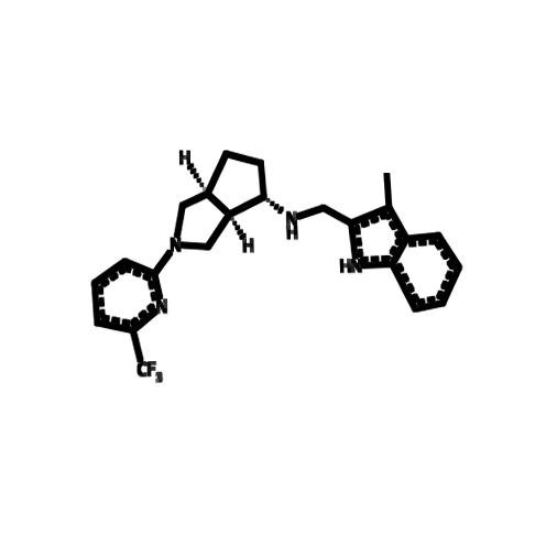 Cc1c(CN[C@H]2CC[C@@H]3CN(c4cccc(C(F)(F)F)n4)C[C@@H]32)[nH]c2ccccc12